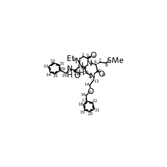 CCN1CC(=O)N2[C@@H](CCSC)C(=O)N(CCOCc3ccccc3)C[C@@H]2N1C(=O)NCc1ccccc1